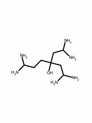 NC(N)CCC(O)(CC(N)N)CC(N)N